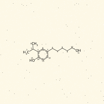 CC(C)c1cc(CCCCCO)ccc1O